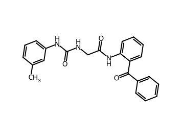 Cc1cccc(NC(=O)NCC(=O)Nc2ccccc2C(=O)c2ccccc2)c1